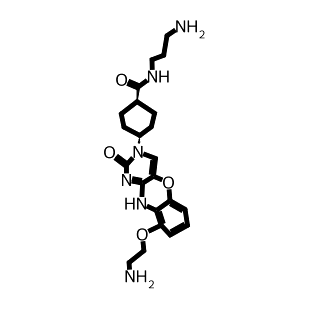 NCCCNC(=O)[C@H]1CC[C@H](n2cc3c(nc2=O)Nc2c(OCCN)cccc2O3)CC1